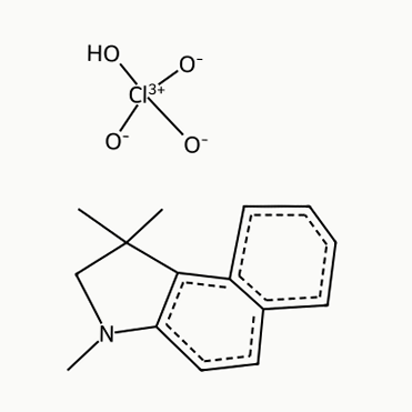 CN1CC(C)(C)c2c1ccc1ccccc21.[O-][Cl+3]([O-])([O-])O